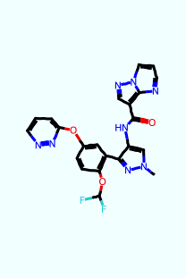 Cn1cc(NC(=O)c2cnn3cccnc23)c(-c2cc(Oc3cccnn3)ccc2OC(F)F)n1